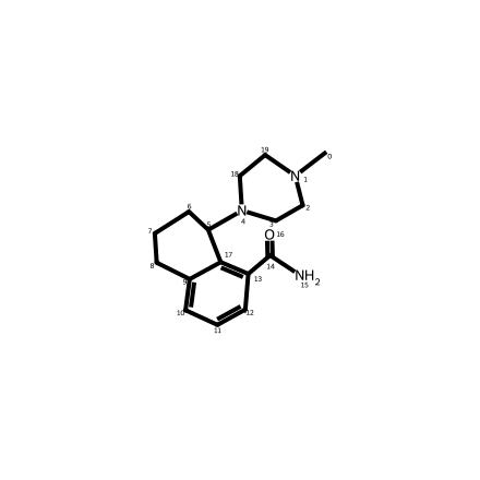 CN1CCN(C2CCCc3cc[c]c(C(N)=O)c32)CC1